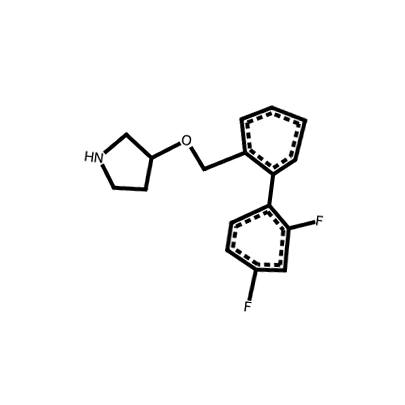 Fc1ccc(-c2ccccc2COC2CCNC2)c(F)c1